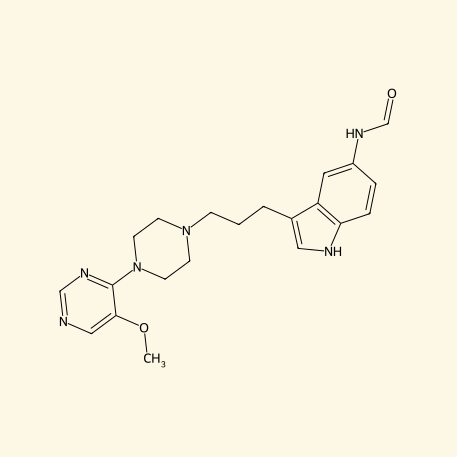 COc1cncnc1N1CCN(CCCc2c[nH]c3ccc(NC=O)cc23)CC1